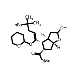 CCCCC(C)(C)CC=C(OC1CCCCO1)[C@@H]1[C@H]2CC(O)O[C@@H]2C[C@H]1C(=O)OC